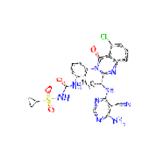 CC(Nc1ncnc(N)c1C#N)c1nc2cccc(Cl)c2c(=O)n1-c1cccc(NC(=O)NS(=O)(=O)C2CC2)c1